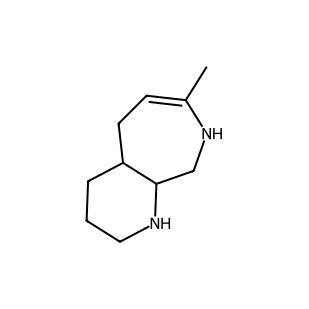 CC1=CCC2CCCNC2CN1